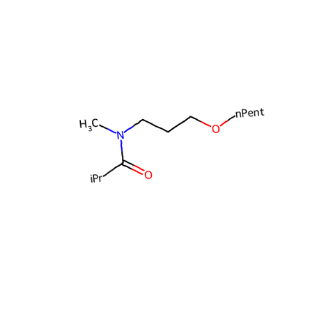 CCCCCOCCCN(C)C(=O)C(C)C